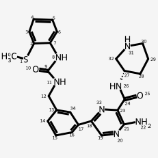 CSc1ccccc1NC(=O)NCc1cccc(-c2cnc(N)c(C(=O)N[C@H]3CCCNC3)n2)c1